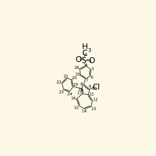 CS(=O)(=O)c1ccc(-c2c(Cl)c3cccccc-3c2-c2ccccc2)cc1